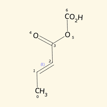 C/C=C/C(=O)OC(=O)O